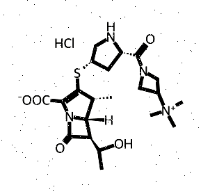 CC(O)[C@H]1C(=O)N2C(C(=O)[O-])=C(S[C@@H]3CN[C@H](C(=O)N4CC([N+](C)(C)C)C4)C3)[C@H](C)[C@H]12.Cl